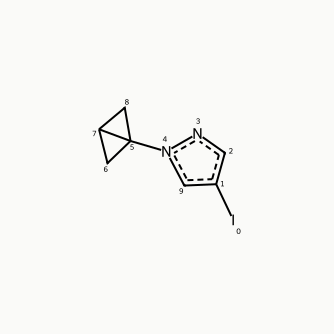 Ic1cnn(C23CC2C3)c1